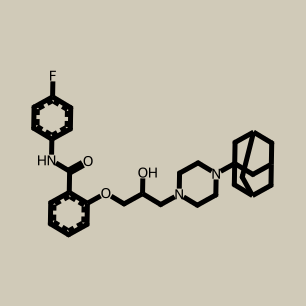 O=C(Nc1ccc(F)cc1)c1ccccc1OCC(O)CN1CCN(C23CC4CC(CC(C4)C2)C3)CC1